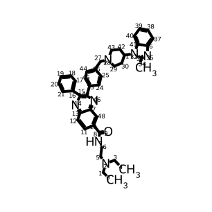 CCN(CC)CCNC(=O)c1ccc2nc(-c3ccccc3)c(-c3ccc(CN4CCC(n5c(C)nc6ccccc65)CC4)cc3)nc2c1